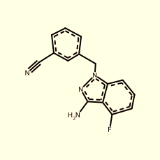 N#Cc1cccc(Cn2nc(N)c3c(F)cccc32)c1